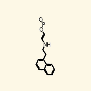 O=POC=CNCCc1cccc2ccccc12